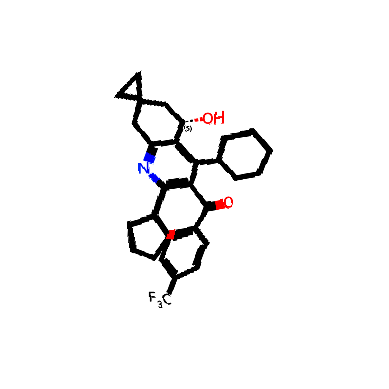 O=C(c1ccc(C(F)(F)F)cc1)c1c(C2CCCC2)nc2c(c1C1CCCCC1)[C@@H](O)CC1(CC1)C2